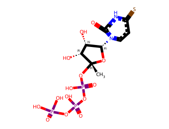 C[C@]1(OP(=O)(O)OP(=O)(O)OP(=O)(O)O)O[C@@H](n2ccc(=S)[nH]c2=O)[C@@H](O)[C@H]1O